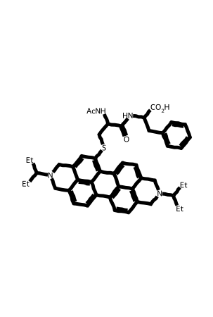 CCC(CC)N1Cc2ccc3c4ccc5c6c(cc(SCC(NC(C)=O)C(=O)NC(Cc7ccccc7)C(=O)O)c(c7ccc(c2c37)C1)c64)CN(C(CC)CC)C5